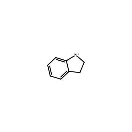 c1ccc2c(c1)CC[N+]2